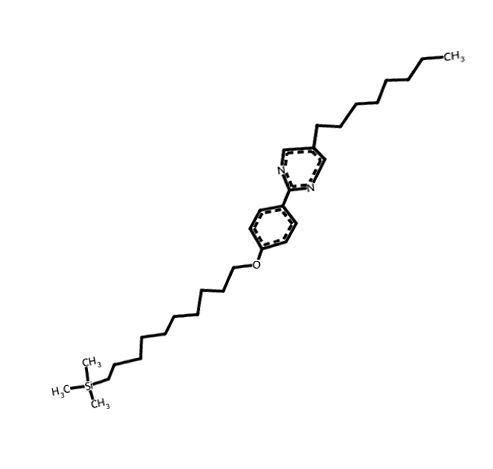 CCCCCCCCc1cnc(-c2ccc(OCCCCCCCCCC[Si](C)(C)C)cc2)nc1